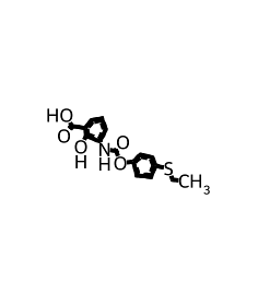 CCSc1ccc(OC(=O)Nc2cccc(C(=O)O)c2O)cc1